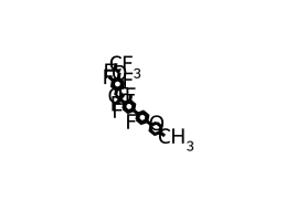 CC1CCC(c2ccc(-c3cc(F)c(C(F)(F)Oc4cc(F)c(OC(F)C(F)(F)F)c(F)c4)c(F)c3)c(F)c2)OC1